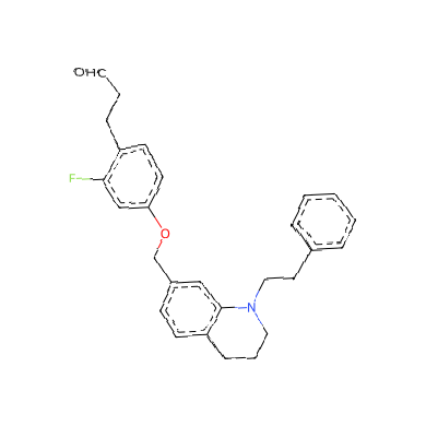 O=CCCc1ccc(OCc2ccc3c(c2)N(CCc2ccccc2)CCC3)cc1F